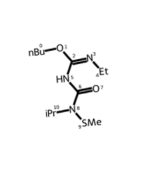 CCCCOC(=NCC)NC(=O)N(SC)C(C)C